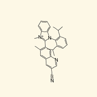 Cc1cc2cc(C#N)cnc2cc1-c1n(-c2c(C(C)C)cccc2C(C)C)c2ccccc2[n+]1C